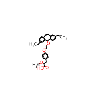 CCc1ccc2c(c1)C=Cc1ccc(CC)cc1C2OCCOc1ccc(CC(OC)C(=O)O)cc1